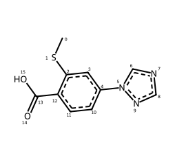 CSc1cc(-n2cncn2)ccc1C(=O)O